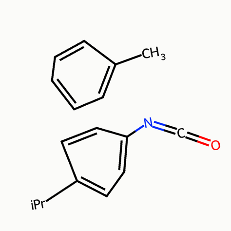 CC(C)c1ccc(N=C=O)cc1.Cc1ccccc1